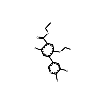 CCOC(=O)c1cc(OCC)c(-c2cnc(F)c(Cl)c2)cc1F